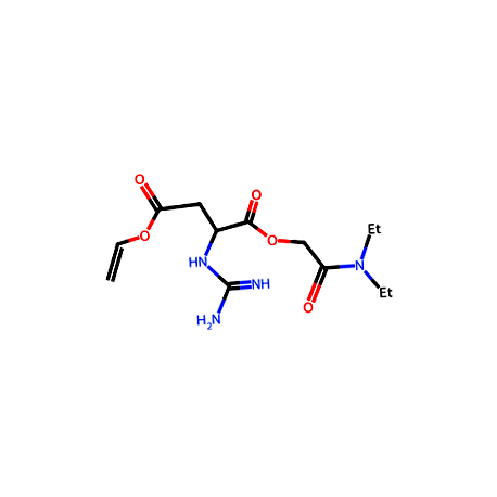 C=COC(=O)CC(NC(=N)N)C(=O)OCC(=O)N(CC)CC